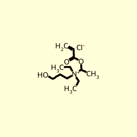 C=CC(=O)OC(C)[N+](CC)(CC)CCCO.[Cl-]